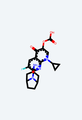 NC1CC2CCC(C1)N2c1nc2c(cc1F)c(=O)c(OC(=O)O)cn2C1CC1